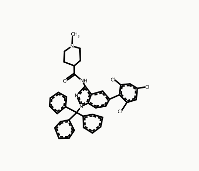 CN1CCC(C(=O)Nc2nn(C(c3ccccc3)(c3ccccc3)c3ccccc3)c3ccc(-c4c(Cl)cc(Cl)cc4Cl)cc23)CC1